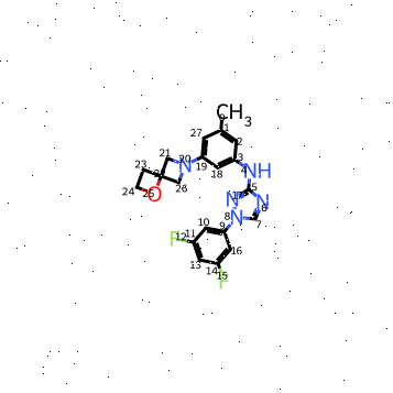 Cc1cc(Nc2ncn(-c3cc(F)cc(F)c3)n2)cc(N2CC3(CCO3)C2)c1